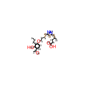 CCCc1c(OCCCSc2nnc(SC(C)CCC(=O)O)s2)ccc(C(C)=O)c1O